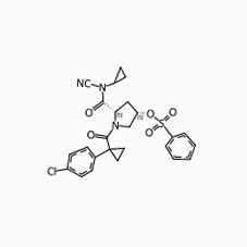 N#CN(C(=O)[C@@H]1C[C@H](OS(=O)(=O)c2ccccc2)CN1C(=O)C1(c2ccc(Cl)cc2)CC1)C1CC1